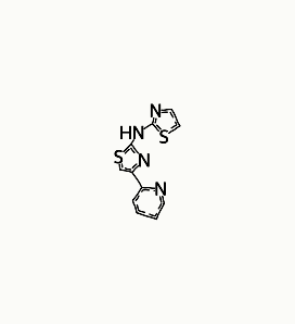 c1ccc(-c2csc(Nc3nccs3)n2)nc1